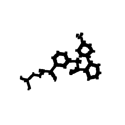 CN(C)CCNC(=O)c1cccc(NC(=O)c2ccccc2-c2ccc(C(F)(F)F)cc2)c1